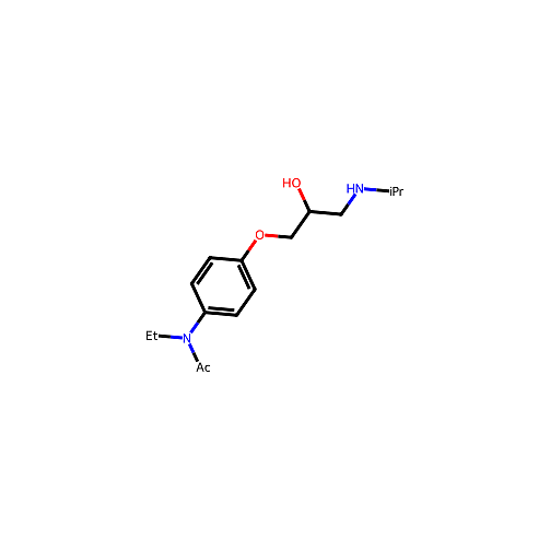 CCN(C(C)=O)c1ccc(OCC(O)CNC(C)C)cc1